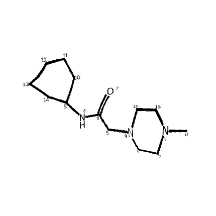 CN1CCN(CC(=O)NC2CCCCC2)CC1